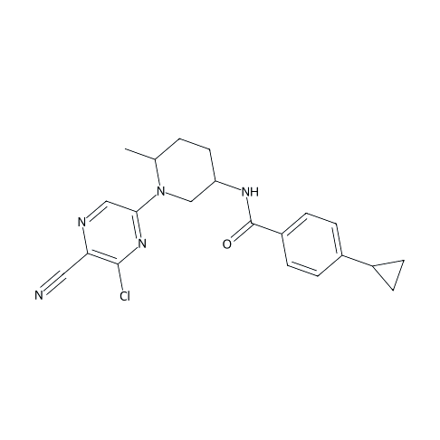 CC1CCC(NC(=O)c2ccc(C3CC3)cc2)CN1c1cnc(C#N)c(Cl)n1